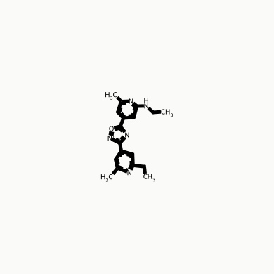 CCNc1cc(-c2nc(-c3cc(C)nc(CC)c3)no2)cc(C)n1